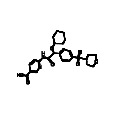 O=C(O)c1ccc(NC(=O)C(OC2CCCCC2)c2ccc(S(=O)(=O)C3CCOCC3)cc2)nc1